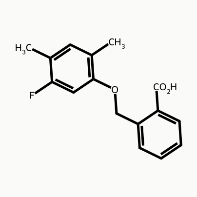 Cc1cc(C)c(OCc2ccccc2C(=O)O)cc1F